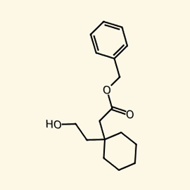 O=C(CC1(CCO)CCCCC1)OCc1ccccc1